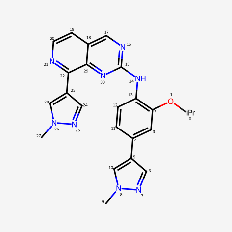 CC(C)Oc1cc(-c2cnn(C)c2)ccc1Nc1ncc2ccnc(-c3cnn(C)c3)c2n1